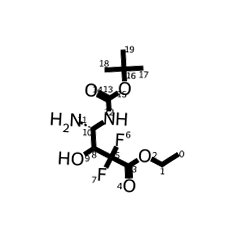 CCOC(=O)C(F)(F)C(O)[C@H](N)NC(=O)OC(C)(C)C